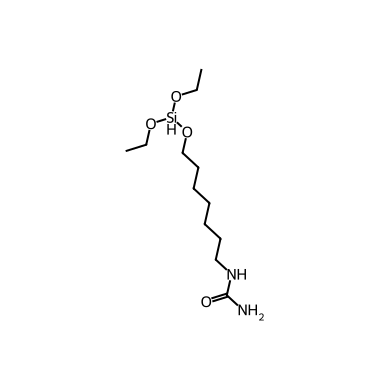 CCO[SiH](OCC)OCCCCCCCNC(N)=O